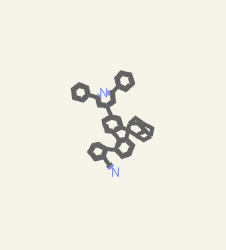 N#Cc1ccccc1-c1cccc2c1-c1ccc(-c3cc(-c4ccccc4)nc(-c4ccccc4)c3)cc1C21C2CC3CC(C2)CC1C3